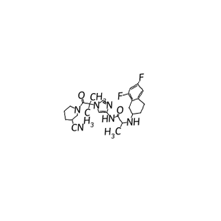 CC(NC1CCc2cc(F)cc(F)c2C1)C(=O)Nc1cn(C(C)(C)C(=O)N2CCCC(C#N)C2)cn1